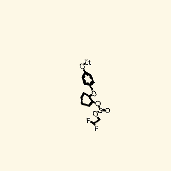 CCOc1ccc(OC2CCCCC2OS(=O)OCC(F)F)cc1